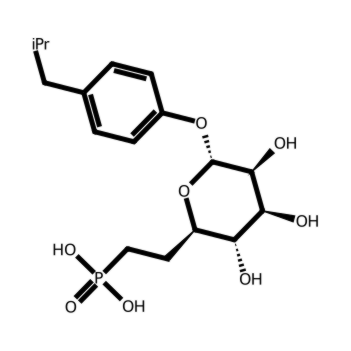 CC(C)Cc1ccc(O[C@H]2O[C@H](CCP(=O)(O)O)[C@@H](O)[C@H](O)[C@@H]2O)cc1